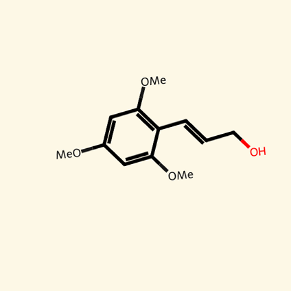 COc1cc(OC)c(/C=C/CO)c(OC)c1